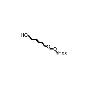 CCCCCCOCOCC/C=C/CCO